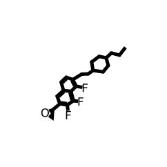 CCCC1CCC(CCc2ccc3cc(C4CO4)c(F)c(F)c3c2F)CC1